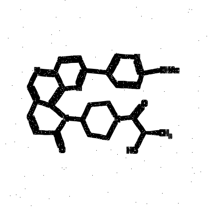 CC(=O)Nc1ccc(-c2ccc3ncc4ccc(=O)n(C5CCN(C(=O)[C@@H](C)O)CC5)c4c3n2)cn1